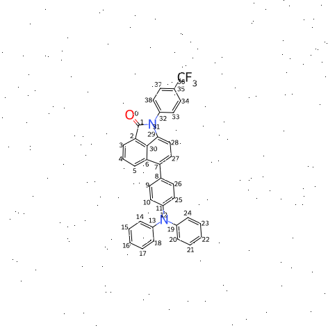 O=C1c2cccc3c(-c4ccc(N(c5ccccc5)c5ccccc5)cc4)ccc(c23)N1c1ccc(C(F)(F)F)cc1